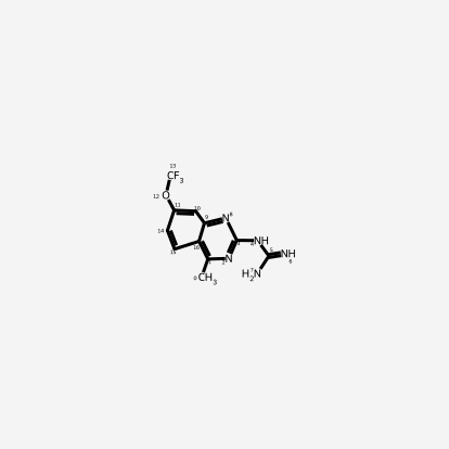 Cc1nc(NC(=N)N)nc2cc(OC(F)(F)F)ccc12